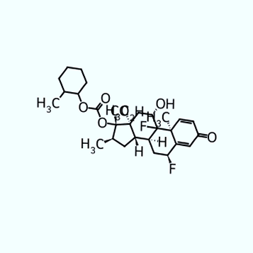 CC1CCCCC1OC(=O)O[C@@]1(C(=O)O)[C@H](C)C[C@H]2[C@@H]3C[C@H](F)C4=CC(=O)C=C[C@]4(C)C3(F)[C@@H](O)C[C@@]21C